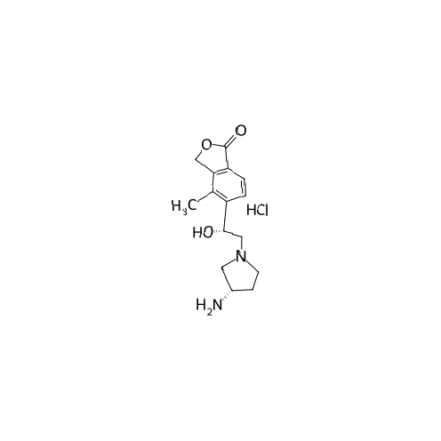 Cc1c([C@@H](O)CN2CC[C@H](N)C2)ccc2c1COC2=O.Cl